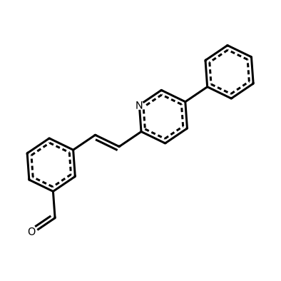 O=Cc1cccc(C=Cc2ccc(-c3ccccc3)cn2)c1